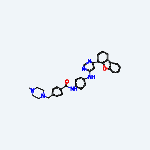 CN1CCN(Cc2ccc(C(=O)Nc3ccc(Nc4cc(-c5cccc6c5oc5ccccc56)ncn4)cc3)cc2)CC1